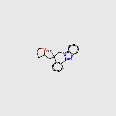 O=C(O)C1(CC2CCCO2)Cn2c(nc3ccccc32)-c2ccccc21